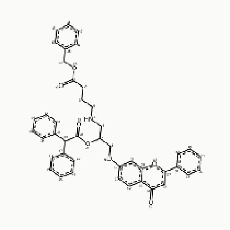 O=C(CCCNCC(COc1ccc2c(=O)cc(-c3ccccc3)oc2c1)OC(=O)C(c1ccccc1)c1ccccc1)OCc1ccccc1